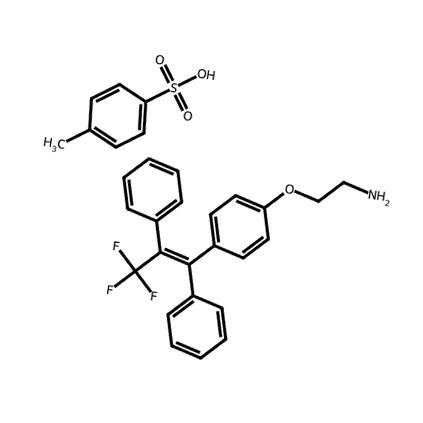 Cc1ccc(S(=O)(=O)O)cc1.NCCOc1ccc(/C(=C(\c2ccccc2)C(F)(F)F)c2ccccc2)cc1